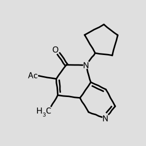 CC(=O)C1=C(C)C2CN=CC=C2N(C2CCCC2)C1=O